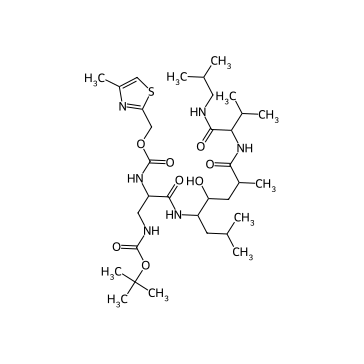 Cc1csc(COC(=O)NC(CNC(=O)OC(C)(C)C)C(=O)NC(CC(C)C)C(O)CC(C)C(=O)NC(C(=O)NCC(C)C)C(C)C)n1